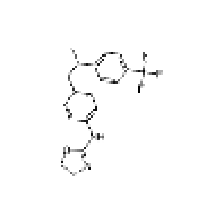 CC(Cc1ccc(NC2=NCCO2)cc1)c1ccc(C(F)(F)F)cc1